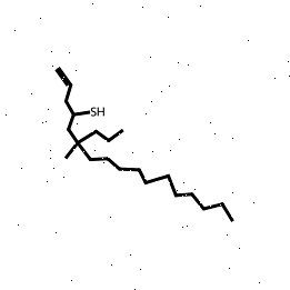 C=CCC(S)CC(C)(CCC)CCCCCCCCCCC